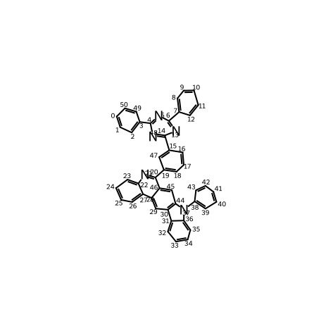 c1ccc(-c2nc(-c3ccccc3)nc(-c3cccc(-c4nc5ccccc5c5cc6c7ccccc7n(-c7ccccc7)c6cc45)c3)n2)cc1